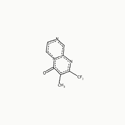 Cc1c(C(F)(F)F)nc2cnccn2c1=O